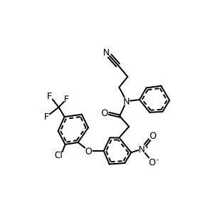 N#CCCN(C(=O)Cc1cc(Oc2ccc(C(F)(F)F)cc2Cl)ccc1[N+](=O)[O-])c1ccccc1